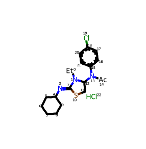 CCN1C(=NC2CCCCC2)SCC1N(C(C)=O)c1ccc(Cl)cc1.Cl